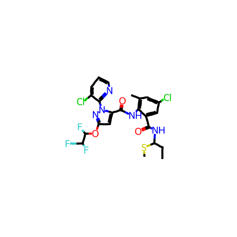 CCC(NC(=O)c1cc(Cl)cc(C)c1NC(=O)c1cc(OC(F)C(F)F)nn1-c1ncccc1Cl)SC